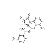 CC(=NOCc1c(C)cccc1-n1nnn(C)c1=O)c1cccc(C)c1